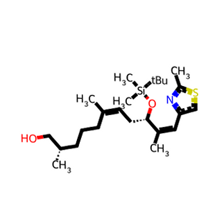 CC(=CC[C@H](O[Si](C)(C)C(C)(C)C)C(C)=Cc1csc(C)n1)CCC[C@H](C)CO